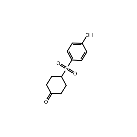 O=C1CCC(S(=O)(=O)c2ccc(O)cc2)CC1